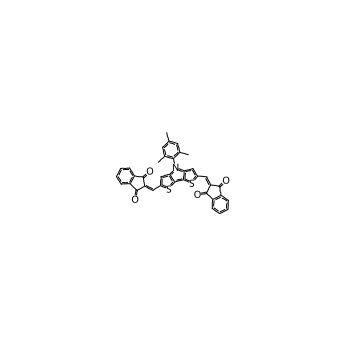 Cc1cc(C)c(-n2c3cc(C=C4C(=O)c5ccccc5C4=O)sc3c3sc(C=C4C(=O)c5ccccc5C4=O)cc32)c(C)c1